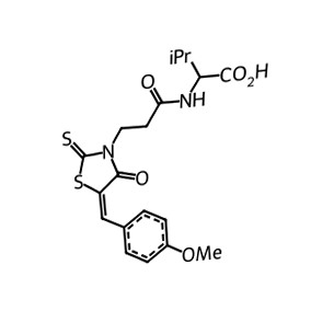 COc1ccc(/C=C2/SC(=S)N(CCC(=O)NC(C(=O)O)C(C)C)C2=O)cc1